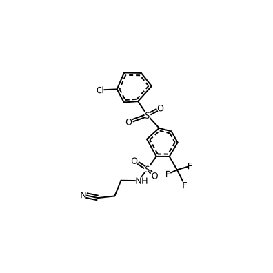 N#CCCNS(=O)(=O)c1cc(S(=O)(=O)c2cccc(Cl)c2)ccc1C(F)(F)F